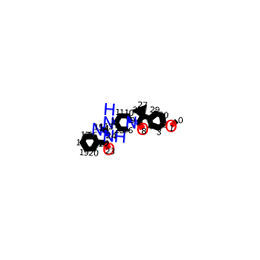 COc1ccc(C2(C(=O)N3CCC(Nc4nc5ccccc5c(=O)[nH]4)CC3)CC2)cc1